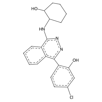 Oc1cc(Cl)ccc1-c1nnc(NC2CCCCC2O)c2ccccc12